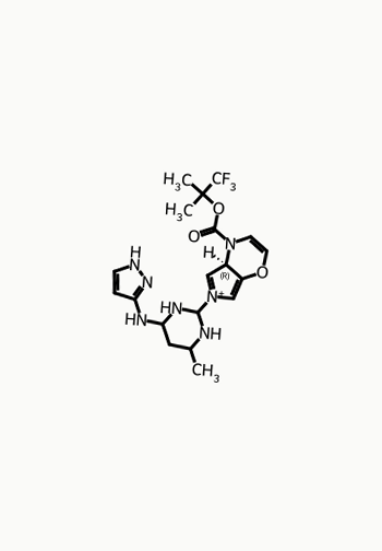 CC1CC(Nc2cc[nH]n2)NC([N+]2=C[C@@H]3C(=C2)OC=CN3C(=O)OC(C)(C)C(F)(F)F)N1